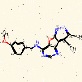 COc1ccc(CNc2ncnc3c2OC(=N)/C3=C(/C)C(C)=N)cc1